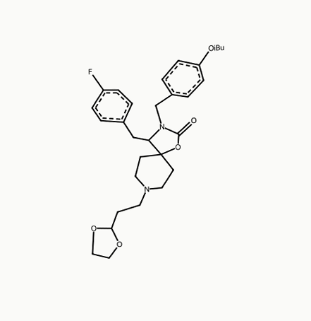 CC(C)COc1ccc(CN2C(=O)OC3(CCN(CCC4OCCO4)CC3)C2Cc2ccc(F)cc2)cc1